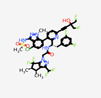 C[C@@H]1c2c(C(F)F)nn(CC(=O)N[C@@H](Cc3cc(F)cc(F)c3)c3nc(C#CC(O)(CF)CF)ccc3-c3ccc(Cl)c4c(NS(C)(=O)=O)nn(C)c34)c2C(F)(F)[C@@H]1C